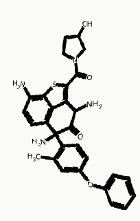 Cc1cc(Oc2ccccc2)ccc1C1(N)C(=O)C(N)c2c(C(=O)N3CCC(O)C3)sc3c(N)ccc1c23